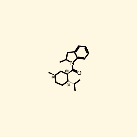 CC(C)[C@@H]1CC[C@@H](C)C[C@H]1C(=O)N1c2ccccc2CC1C